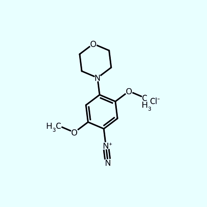 COc1cc(N2CCOCC2)c(OC)cc1[N+]#N.[Cl-]